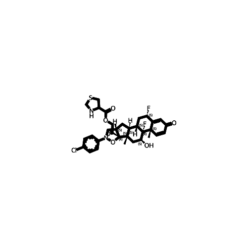 C[C@]12C=CC(=O)C=C1[C@@H](F)C[C@H]1[C@@H]3C[C@H]4CN(c5ccc(Cl)cc5)O[C@@]4(C(=O)COC(=O)C4CSCN4)[C@@]3(C)C[C@H](O)[C@@]12F